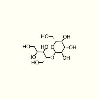 OC[C@H](O)[C@@H](O)[C@@H](CO)O[C@H]1O[C@H](CO)[C@@H](O)[C@H](O)[C@H]1O